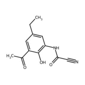 CCc1cc(NC(=O)C#N)c(O)c(C(C)=O)c1